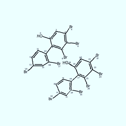 Oc1cc(Br)c(Br)c(Br)c1-c1ccc(Br)cc1Br.Oc1cc(Br)c(Br)c(Br)c1-c1ccc(Br)cc1Br